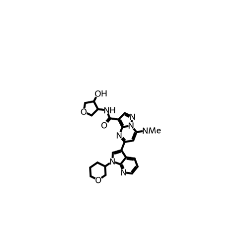 CNc1cc(-c2cn(C3CCCOC3)c3ncccc23)nc2c(C(=O)NC3COCC3O)cnn12